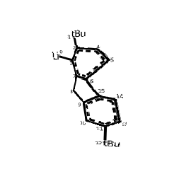 [Li][c]1c(C(C)(C)C)ccc2c1Cc1cc(C(C)(C)C)ccc1-2